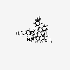 CCc1ccc2c(c1)[C]([Zr+2])=c1c-2cc(=C(c2ccccc2)c2ccccc2)c(CC)c1C1C(C)=Cc2cc(C)ccc21.[Cl-].[Cl-]